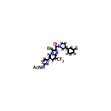 CC(=O)Nc1nc(-c2cc(C(F)(F)F)c3nc(C(=O)N4CCC(c5cccc(F)c5)C4)c(Br)n3c2)cs1